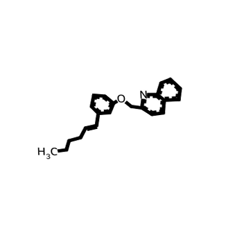 CCCC/C=C/c1cccc(OCc2ccc3ccccc3n2)c1